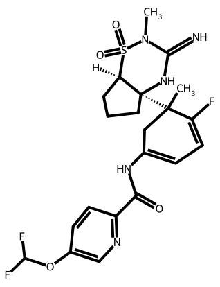 CN1C(=N)N[C@@]2(C3(C)CC(NC(=O)c4ccc(OC(F)F)cn4)=CC=C3F)CCC[C@H]2S1(=O)=O